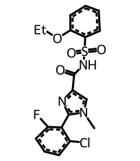 CCOc1ccccc1S(=O)(=O)NC(=O)c1cn(C)c(-c2c(F)cccc2Cl)n1